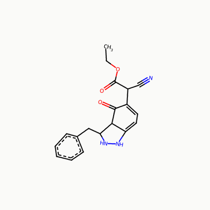 CCOC(=O)C(C#N)C1=CC=C2NNC(Cc3ccccc3)C2C1=O